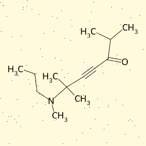 CCCN(C)C(C)(C)C#CC(=O)C(C)C